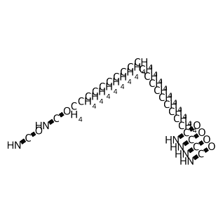 C.C.C.C.C.C.C.C.C.C.C.C.C.C.C.C.C.C.C.N=C=O.N=C=O.N=C=O.N=C=O.N=C=O.N=C=O